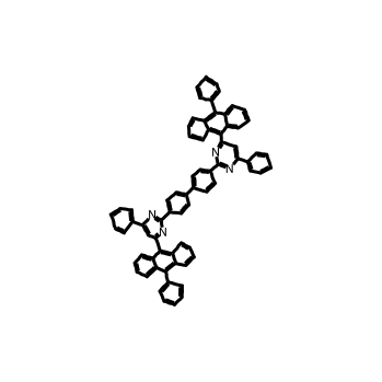 c1ccc(-c2cc(-c3c4ccccc4c(-c4ccccc4)c4ccccc34)nc(-c3ccc(-c4ccc(-c5nc(-c6ccccc6)cc(-c6c7ccccc7c(-c7ccccc7)c7ccccc67)n5)cc4)cc3)n2)cc1